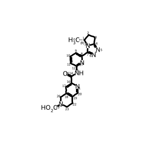 C[C@@H]1CCc2nnc(-c3cccc(NC(=O)c4cc5c(cn4)CCN(C(=O)O)C5)n3)n21